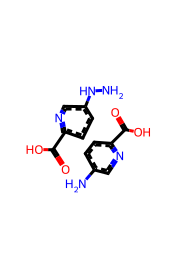 NNc1ccc(C(=O)O)nc1.Nc1ccc(C(=O)O)nc1